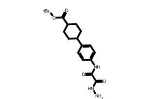 CC(C)(C)OC(=O)C1CCC(c2ccc(NC(=O)C(=O)NN)cc2)CC1